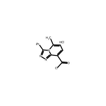 Cc1ccc(C(=O)Cl)c2nnc(C(C)C)n12.Cl